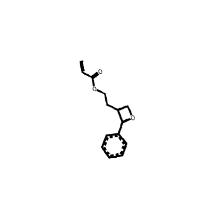 C=CC(=O)OCCC1COC1c1ccccc1